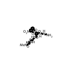 CNC(=O)c1cc(NC(=O)CCCNC(=O)c2cc(C(=O)NCCNCCN)cc(N3C(=O)c4cccc5cc([N+](=O)[O-])cc(c45)C3=O)c2)cn1C